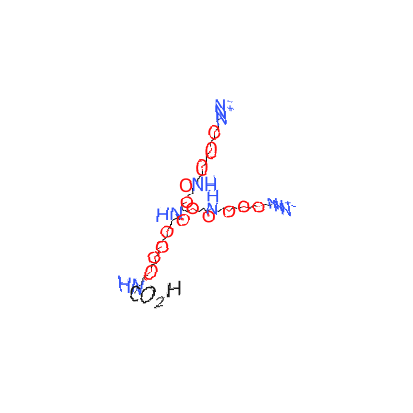 [N-]=[N+]=NCCOCCOCCOCCNC(=O)CCOCC(COCCC(=O)NCCOCCOCCOCCN=[N+]=[N-])NC(=O)CCOCCOCCOCCOCCNC(=O)O